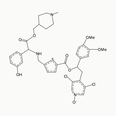 COc1ccc(C(Cc2c(Cl)c[n+]([O-])cc2Cl)OC(=O)c2ccc(CNC(C(=O)OCC3CCN(C)CC3)c3cccc(O)c3)s2)cc1OC